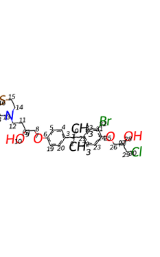 CC(C)(c1ccc(OC[C@@H](O)CCN2CCSCC2)cc1)c1ccc(OC[C@H](O)CCl)c(Br)c1